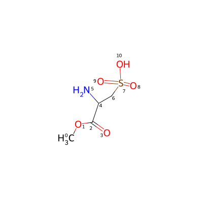 COC(=O)C(N)CS(=O)(=O)O